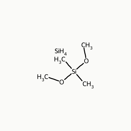 CO[Si](C)(C)OC.[SiH4]